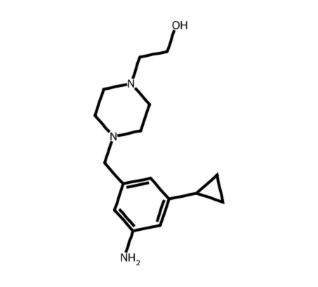 Nc1cc(CN2CCN(CCO)CC2)cc(C2CC2)c1